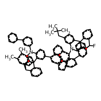 Cc1cc2c(cc1C)C13c4ccccc4C2c2cccc(c21)N(c1cccc(-c2ccccc2)c1)c1ccc(-c2ccc(-c4cccc(-c5ccc6c(c5)C57c8ccc(CC(C)(C)C)cc8N(c8cc9ccccc9c9ccccc89)c8cccc(c85)C6(F)c5ccccc57)c4)cc2)cc13